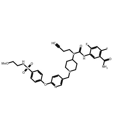 C#CCCN(C(=O)Nc1cc(C(N)=O)c(F)cc1F)C1CCN(Cc2ccc(Oc3ccc(S(=O)(=O)NCCOC)cc3)nc2)CC1